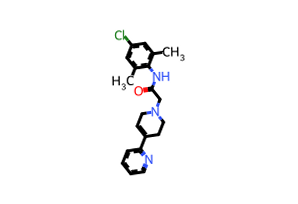 Cc1cc(Cl)cc(C)c1NC(=O)CN1CC=C(c2ccccn2)CC1